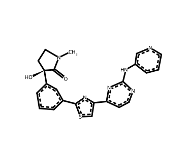 CN1CC[C@@](O)(c2cccc(-c3nc(-c4ccnc(Nc5cccnc5)n4)cs3)c2)C1=O